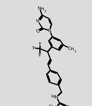 CC(=O)NCc1ccc(/C=C/C(c2cc(C)cc(-n3ccc(N)nc3=O)c2)C(F)(F)F)cc1